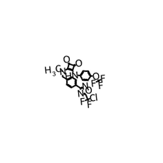 CN(Cc1ccc(-c2noc(C(F)(F)Cl)n2)cc1)c1c(Nc2ccc(OC(F)(F)F)cc2)c(=O)c1=O